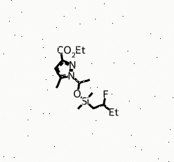 CCOC(=O)c1cc(C)n(C(C)O[Si](C)(C)CC(F)CC)n1